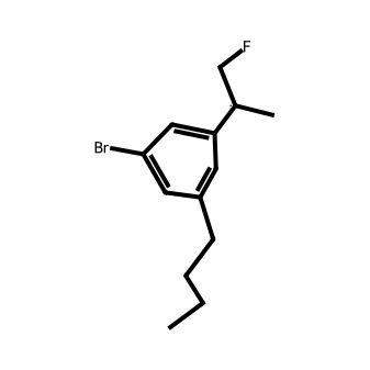 CCCCc1cc(Br)cc([C](C)CF)c1